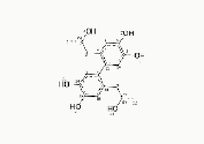 C[C@H](O)Cc1cc(O)c(O)cc1-c1cc(O)c(O)cc1C[C@H](C)O